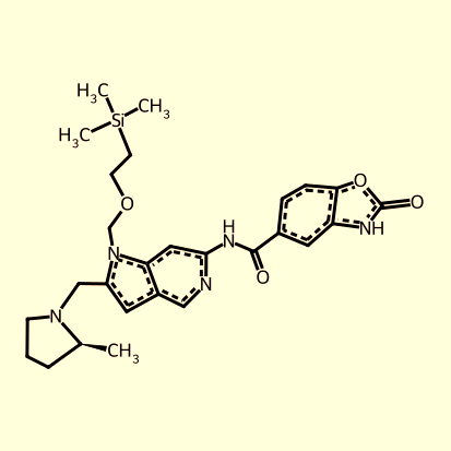 C[C@H]1CCCN1Cc1cc2cnc(NC(=O)c3ccc4oc(=O)[nH]c4c3)cc2n1COCC[Si](C)(C)C